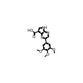 COc1cc(-c2cnc3[nH]cc(C(=O)O)c3n2)cc(OC)c1OC